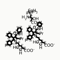 CC(C)C[C@H](N)[C@@H](O)CC(=O)O.CC(C)c1c(C(=O)Nc2ccccc2)c(-c2ccccc2)c(-c2ccc(F)cc2)n1CC[C@@H](O)C[C@@H](O)CC(=O)[O-].CC(C)c1c(C(=O)Nc2ccccc2)c(-c2ccccc2)c(-c2ccc(F)cc2)n1CC[C@@H](O)C[C@@H](O)CC(=O)[O-].[Ca+2].[CaH2]